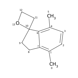 Cc1ccc(C)c2c1CCC21CCO1